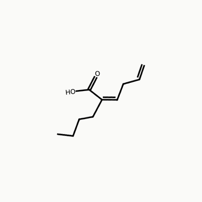 C=CCC=C(CCCC)C(=O)O